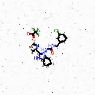 O=C(NCc1cccc(Cl)c1)N[n+]1c(-c2cscn2)[nH]c2ccccc21.O=C([O-])C(F)(F)F